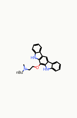 CCCCN(C)CCOc1c2[nH]c3ccccc3c2cc2c1[nH]c1ccccc12